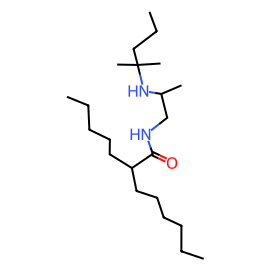 CCCCCCC(CCCCC)C(=O)NCC(C)NC(C)(C)CCC